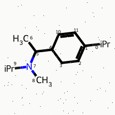 CC(C)C1=CCC(C(C)N(C)C(C)C)C=C1